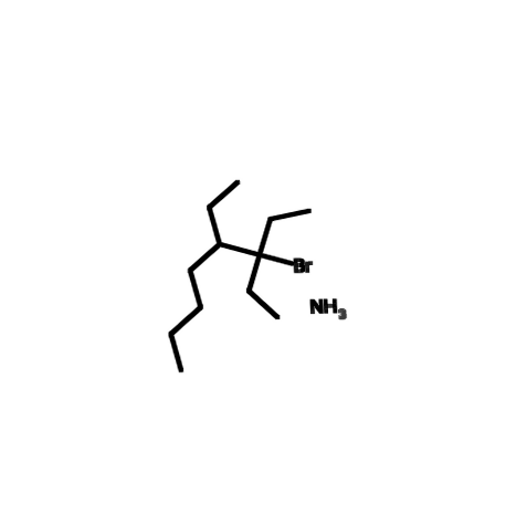 CCCCC(CC)C(Br)(CC)CC.N